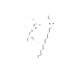 CCCCCCCCCCCCOS(=O)(=O)OCC.CCOP(=O)(OCC)SCCN(CC)CC.N